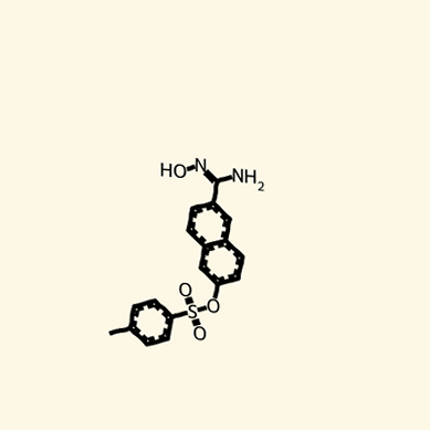 Cc1ccc(S(=O)(=O)Oc2ccc3cc(/C(N)=N\O)ccc3c2)cc1